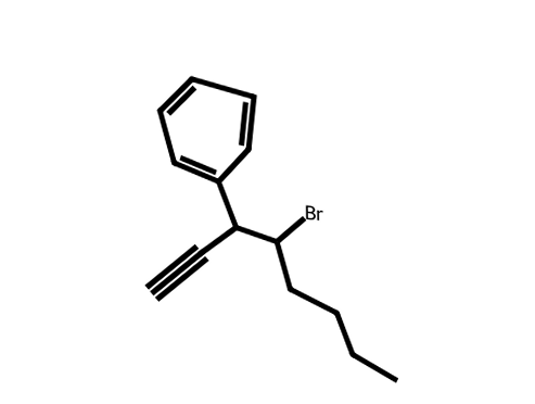 C#CC(c1ccccc1)C(Br)CCCC